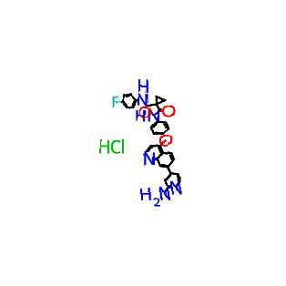 Cl.Nc1cc(-c2ccc3c(Oc4ccc(NC(=O)C5(C(=O)Nc6ccc(F)cc6)CC5)cc4)ccnc3c2)ccn1